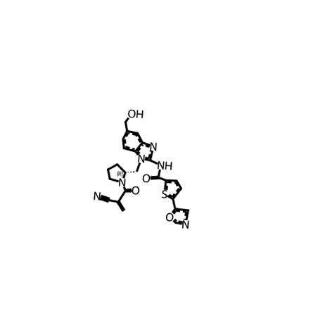 C=C(C#N)C(=O)N1CCC[C@@H]1Cn1c(NC(=O)c2ccc(-c3cnco3)s2)nc2cc(CO)ccc21